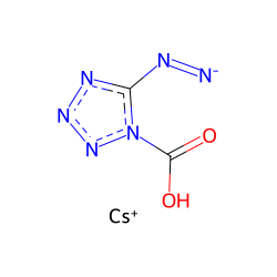 [Cs+].[N-]=Nc1nnnn1C(=O)O